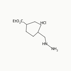 CCOC(=O)C1CCC(CNN)CC1.Cl